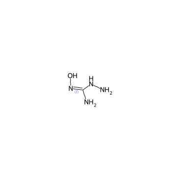 NN/C(N)=N\O